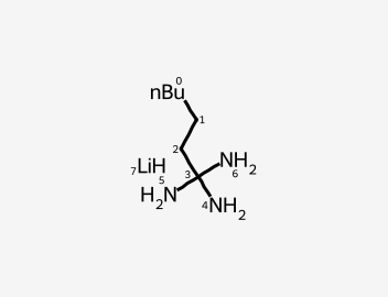 CCCCCCC(N)(N)N.[LiH]